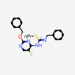 CCCS/C(=N\Cc1ccccc1)Nc1nc(OCc2ccccc2)ncc1F